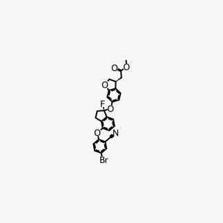 COC(=O)C[C@@H]1COc2cc(O[C@@]3(F)CCc4c(Oc5ccc(Br)cc5C#N)cccc43)ccc21